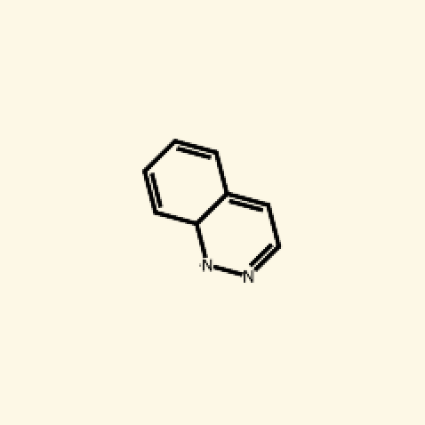 C1=CC2=CC=N[N]C2C=C1